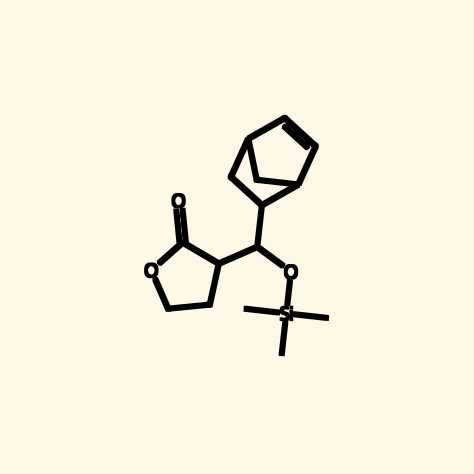 C[Si](C)(C)OC(C1CCOC1=O)C1CC2C=CC1C2